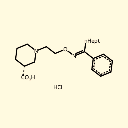 CCCCCCC/C(=N\OCCN1CCC[C@@H](C(=O)O)C1)c1ccccc1.Cl